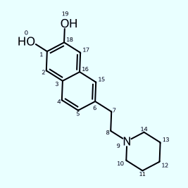 Oc1cc2ccc(CCN3CCCCC3)cc2cc1O